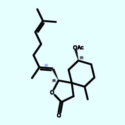 CC(=O)O[C@@H]1CCC(C)C2(CC(=O)O[C@@H]2/C=C(\C)CCC=C(C)C)C1